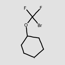 FC(F)(Br)OC1CC[CH]CC1